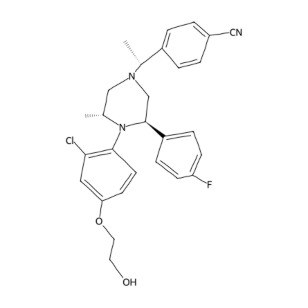 C[C@H](c1ccc(C#N)cc1)N1C[C@@H](C)N(c2ccc(OCCO)cc2Cl)[C@H](c2ccc(F)cc2)C1